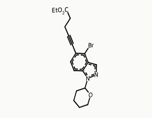 CCOC(=O)CCC#Cc1ccc2c(cnn2C2CCCCO2)c1Br